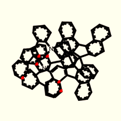 C1=CC2C(N(c3ccccc3-c3ccccc3)c3ccccc3-c3ccccc3)=CC3=C(c4c(ccc5ccccc45)C3(c3ccccc3)C3(c4ccccc4)c4ccc5ccccc5c4-c4c3cc(N(c3ccccc3-c3ccccc3)c3ccccc3-c3ccccc3)c3ccccc43)C2C=C1